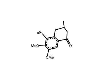 CCCc1c2c(cc(OC)c1OC)C(=O)CC(C)C2